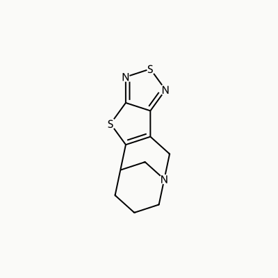 C1CC2CN(C1)Cc1c2sc2nsnc12